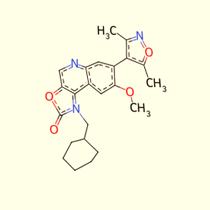 COc1cc2c(cc1-c1c(C)noc1C)ncc1oc(=O)n(CC3CCCCC3)c12